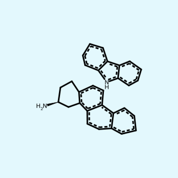 N[C@H]1CCc2ccc3c(ccc4ccccc43)c2C1.c1ccc2c(c1)[nH]c1ccccc12